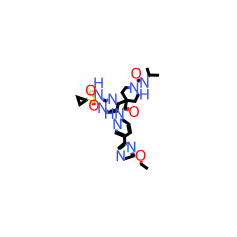 CCOc1cncc(-c2ccc(NC(=O)C3(c4ccnc(NS(=O)(=O)C5CC5)n4)CCN(C(=O)NC(C)C)CC3)nc2)n1